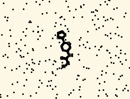 CC(C)OC(=O)NC1CC[C@@H](c2nccs2)OC1